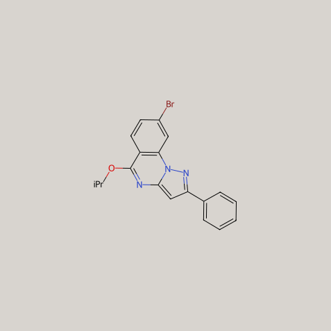 CC(C)Oc1nc2cc(-c3ccccc3)nn2c2cc(Br)ccc12